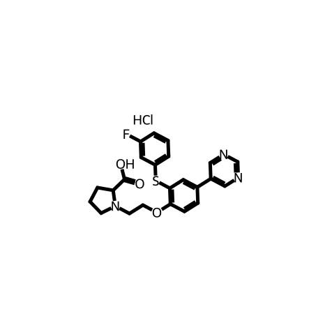 Cl.O=C(O)C1CCCN1CCOc1ccc(-c2cncnc2)cc1Sc1cccc(F)c1